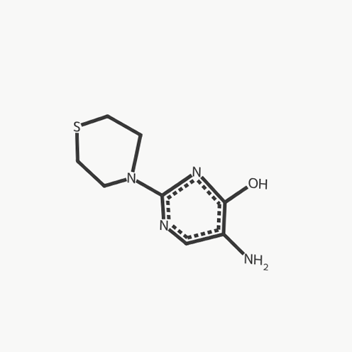 Nc1cnc(N2CCSCC2)nc1O